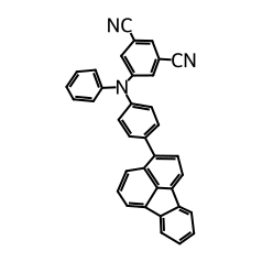 N#Cc1cc(C#N)cc(N(c2ccccc2)c2ccc(-c3ccc4c5c(cccc35)-c3ccccc3-4)cc2)c1